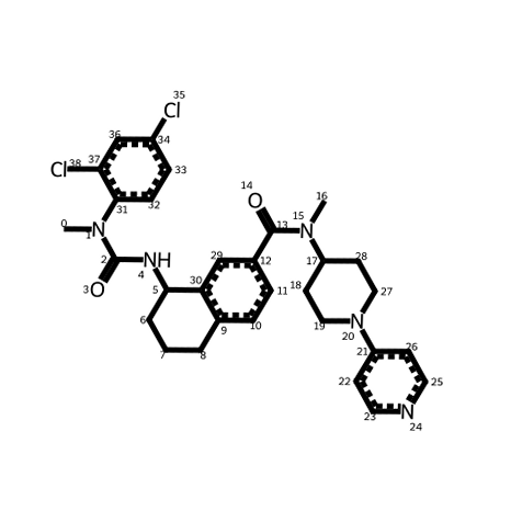 CN(C(=O)NC1CCCc2ccc(C(=O)N(C)C3CCN(c4ccncc4)CC3)cc21)c1ccc(Cl)cc1Cl